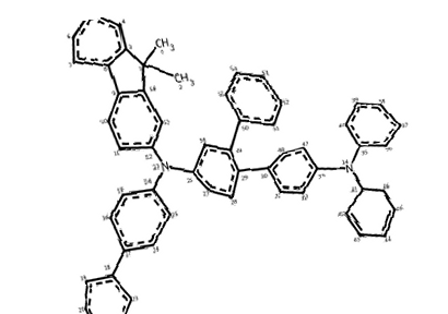 CC1(C)c2ccccc2-c2ccc(N(c3ccc(-c4ccccc4)cc3)c3ccc(-c4ccc(N(c5ccccc5)C5C=CC=CC5)cc4)c(-c4ccccc4)c3)cc21